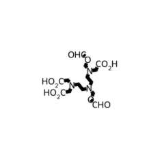 O=COCN(CCN(COC=O)CC(=O)O)CCN(CC(=O)O)CC(=O)O